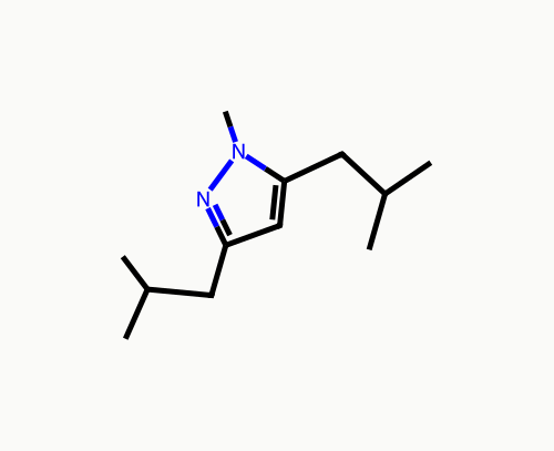 CC(C)Cc1cc(CC(C)C)n(C)n1